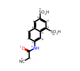 N#CCC(=O)Nc1ccc2cc(S(=O)(=O)O)cc(S(=O)(=O)O)c2c1